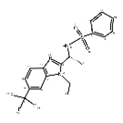 CCn1c([C@@H](C)NS(=O)(=O)c2ccccc2)nc2ccc(C(F)(F)F)cc21